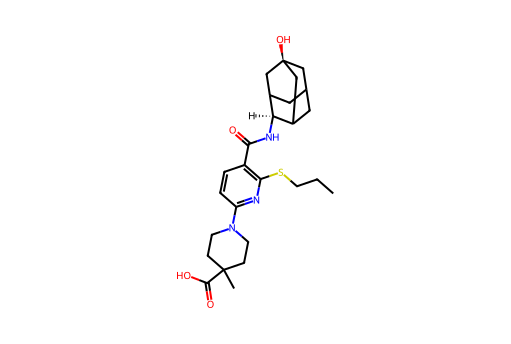 CCCSc1nc(N2CCC(C)(C(=O)O)CC2)ccc1C(=O)N[C@H]1C2CC3CC1C[C@@](O)(C3)C2